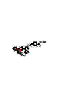 COc1ccc(CN2C3CC2CN(c2ccc(-c4cc(OCCC5CCN(C(=O)OC(C)(C)C)CC5)cn5ncc(C#N)c45)cn2)C3)cn1